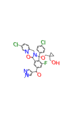 Cn1cc(C(=O)c2cc(F)c3c(c2)C(=O)N(Cc2ccc(Cl)cn2)C3(OCC2(CO)CC2)c2ccc(Cl)cc2)cn1